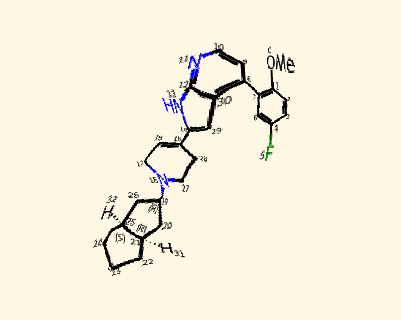 COc1ccc(F)cc1-c1ccnc2[nH]c(C3=CCN([C@H]4C[C@H]5C[CH]C[C@H]5C4)CC3)cc12